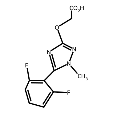 Cn1nc(OCC(=O)O)nc1-c1c(F)cccc1F